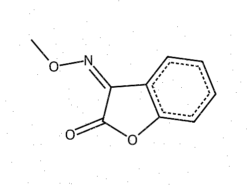 CON=C1C(=O)Oc2ccccc21